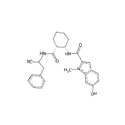 Cn1c(C(=O)N[C@H]2CCCC[C@H]2C(=O)NC(C#N)Cc2ccccc2)cc2ccc(O)cc21